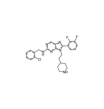 Fc1cccc(-c2nc3cnc(NCc4ccccc4Cl)nc3n2CCC2CCNCC2)c1F